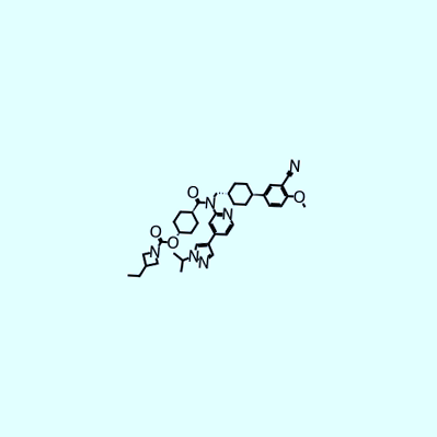 CCC1CN(C(=O)O[C@H]2CC[C@H](C(=O)N(C[C@H]3CC[C@H](c4ccc(OC)c(C#N)c4)CC3)c3cc(-c4cnn(C(C)C)c4)ccn3)CC2)C1